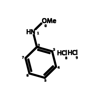 CONc1ccccc1.Cl.Cl